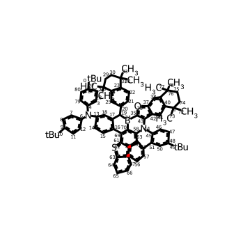 CC(C)(C)c1ccc(N(c2ccc(C(C)(C)C)cc2)c2ccc3c(c2)C(c2ccc4c(c2)C(C)(C)CCC4(C)C)B2c4oc5cc6c(cc5c4N(c4ccc(C(C)(C)C)cc4-c4ccccc4)c4cc5c(sc7ccccc75)c-3c42)C(C)(C)CCC6(C)C)cc1